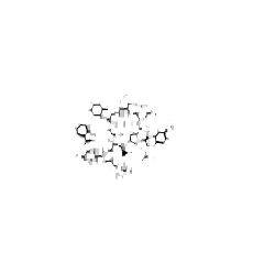 CC(=O)N[C@H](Cc1ccc(O)cc1)C(=O)N1C[C@H](O)C[C@H]1C(=O)N[C@@H](CC(N)=O)C(=O)N[C@H](C(=O)N[C@@H](CC1CCCCC1)C(=O)NCC(=O)N[C@@H](CC1CC1)C(=O)N[C@@H](CCCNC(=N)N)C(=O)N[C@@H](Cc1c[nH]c2ccccc12)C(N)=O)[C@@H](C)O